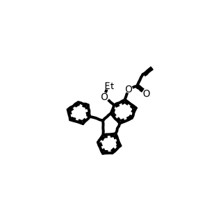 C=CC(=O)Oc1ccc2c(c1OCC)C(c1ccccc1)c1ccccc1-2